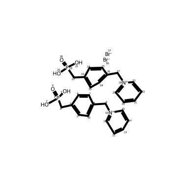 O=P(O)(O)Cc1ccc(C[n+]2ccccc2)cc1.O=P(O)(O)Cc1ccc(C[n+]2ccccc2)cc1.[Br-].[Br-]